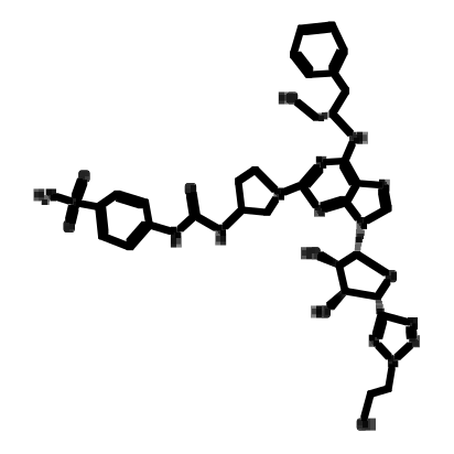 NS(=O)(=O)c1ccc(NC(=O)NC2CCN(c3nc(N[C@H](CO)Cc4ccccc4)c4ncn([C@@H]5O[C@H](c6nnn(CCO)n6)[C@@H](O)[C@H]5O)c4n3)C2)cc1